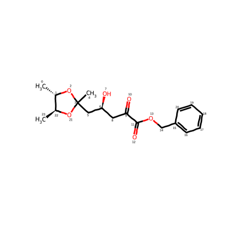 C[C@@H]1OC(C)(C[C@@H](O)CC(=O)C(=O)OCc2ccccc2)O[C@H]1C